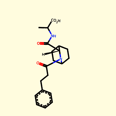 CC(NC(=O)[C@@H]1C2CCC(CC2)N1C(=O)CCc1ccccc1)C(=O)O